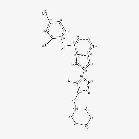 Cn1c(CN2CCOCC2)cnc1-c1cc2nccc(Oc3ccc(N=O)cc3F)c2s1